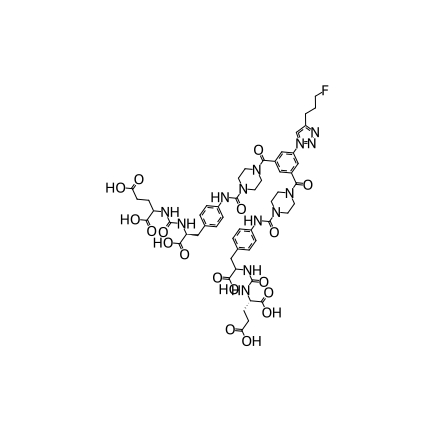 O=C(O)CCC(NC(=O)N[C@@H](Cc1ccc(NC(=O)N2CCN(C(=O)c3cc(C(=O)N4CCN(C(=O)Nc5ccc(CC(NC(=O)N[C@@H](CCC(=O)O)C(=O)O)C(=O)O)cc5)CC4)cc(-n4cc(CCCF)nn4)c3)CC2)cc1)C(=O)O)C(=O)O